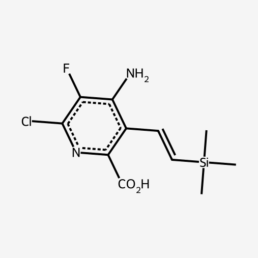 C[Si](C)(C)C=Cc1c(C(=O)O)nc(Cl)c(F)c1N